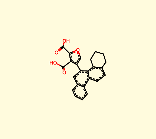 O=C(O)c1occ(-c2cc3ccccc3c3ccc4c(c23)CCCC4)c1C(=O)O